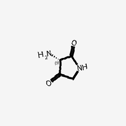 N[C@H]1C(=O)CNC1=O